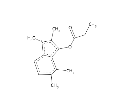 CCC(=O)Oc1c(C)n(C)c2ccc(C)c(C)c12